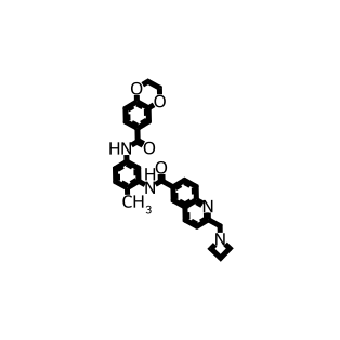 Cc1ccc(NC(=O)c2ccc3c(c2)OCCO3)cc1NC(=O)c1ccc2nc(CN3CCC3)ccc2c1